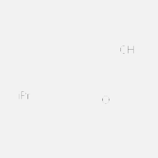 CC(C)C1CO[C@@H](C)C1